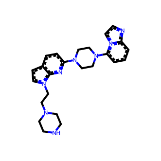 c1cc(N2CCN(c3ccc4ccn(CCN5CCNCC5)c4n3)CC2)n2ccnc2c1